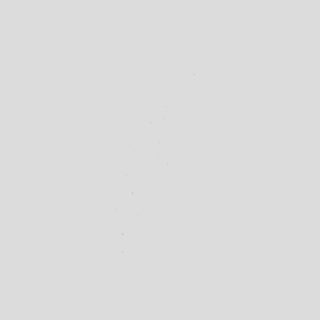 CCCCCCCc1cc2ccc(CCc3ccc(C)cc3)c(F)c2c(=O)o1